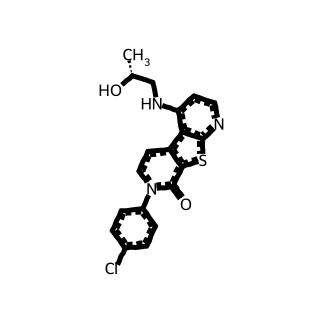 C[C@@H](O)CNc1ccnc2sc3c(=O)n(-c4ccc(Cl)cc4)ccc3c12